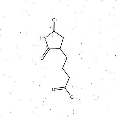 O=C(O)CCCC1CC(=O)NC1=O